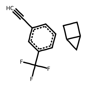 C#Cc1cccc(C(F)(F)F)c1.C1CC2CC12